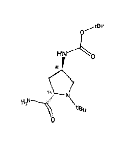 CC(C)(C)OC(=O)N[C@@H]1C[C@@H](C(N)=O)N(C(C)(C)C)C1